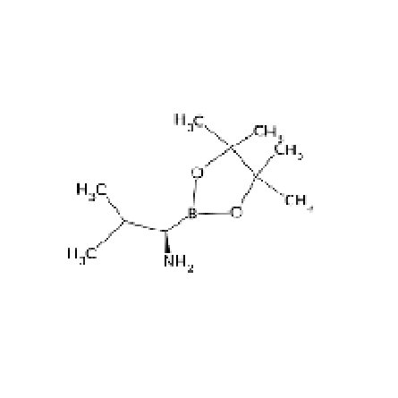 CC(C)[C@H](N)B1OC(C)(C)C(C)(C)O1